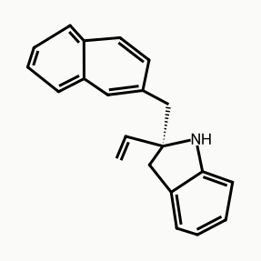 C=C[C@]1(Cc2ccc3ccccc3c2)Cc2ccccc2N1